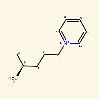 CCCC[C@@H](C)CCC[n+]1ccccc1